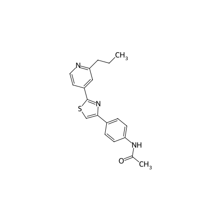 CCCc1cc(-c2nc(-c3ccc(NC(C)=O)cc3)cs2)ccn1